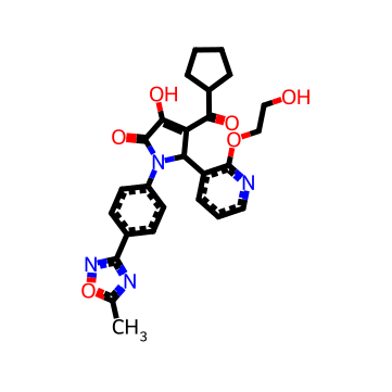 Cc1nc(-c2ccc(N3C(=O)C(O)=C(C(=O)C4CCCC4)C3c3cccnc3OCCO)cc2)no1